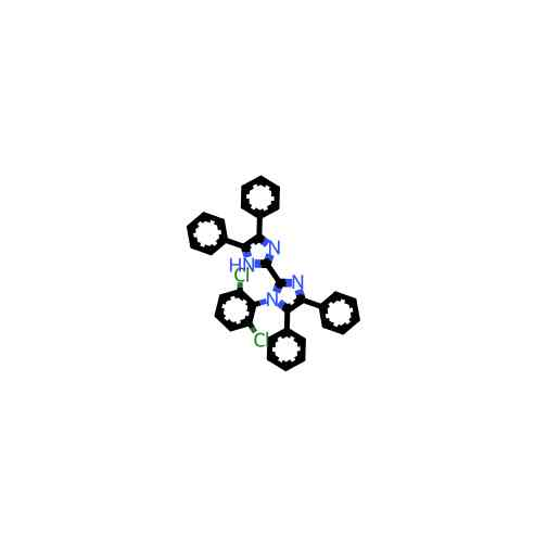 Clc1cccc(Cl)c1-n1c(-c2nc(-c3ccccc3)c(-c3ccccc3)[nH]2)nc(-c2ccccc2)c1-c1ccccc1